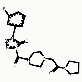 O=C(CN1CCN(C(=O)n2nnn(-c3cccc(F)c3)c2=O)CC1)N1CCCC1